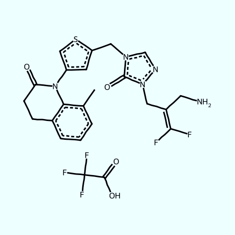 Cc1cccc2c1N(c1csc(Cn3cnn(CC(CN)=C(F)F)c3=O)c1)C(=O)CC2.O=C(O)C(F)(F)F